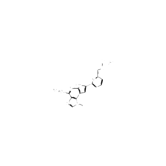 CCOC(=O)OCc1cccc(-c2cc3c(nc(NC)c4ncn(C)c43)[nH]2)n1